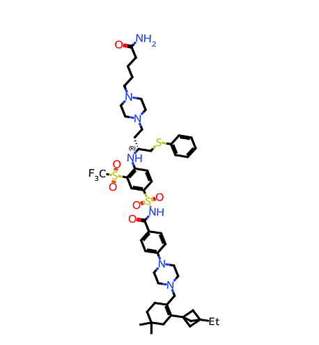 CCC12CC(C3=C(CN4CCN(c5ccc(C(=O)NS(=O)(=O)c6ccc(N[C@H](CCN7CCN(CCCCC(N)=O)CC7)CSc7ccccc7)c(S(=O)(=O)C(F)(F)F)c6)cc5)CC4)CCC(C)(C)C3)(C1)C2